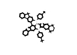 CC(C)(C)c1ccc(Nc2cc3c(cc2-c2c4c(cc5c2oc2ccccc25)N(c2ccc(C(C)(C)C)cc2)c2c(sc5cc6c(cc25)C(C)(C)CCC6(C)C)B4)-c2ccccc2C3(C)C)cc1